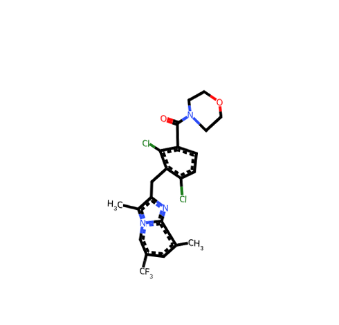 Cc1cc(C(F)(F)F)cn2c(C)c(Cc3c(Cl)ccc(C(=O)N4CCOCC4)c3Cl)nc12